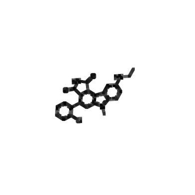 CCNc1ccc2c(c1)c1c3c(c(-c4ccccc4Cl)cc1n2C)C(=O)NC3=O